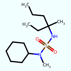 CCCC(C)(CC)NS(=O)(=O)N(C)C1CCCCC1